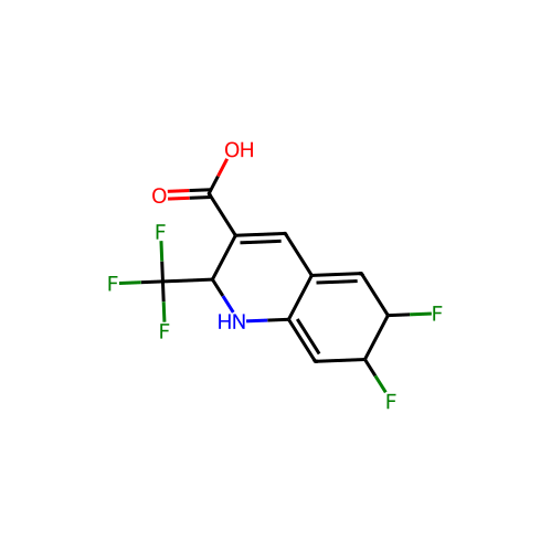 O=C(O)C1=CC2=CC(F)C(F)C=C2NC1C(F)(F)F